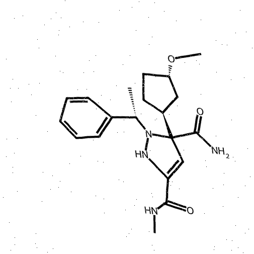 CNC(=O)C1=CC(C(N)=O)([C@H]2CC[C@H](OC)C2)N([C@@H](C)c2ccccc2)N1